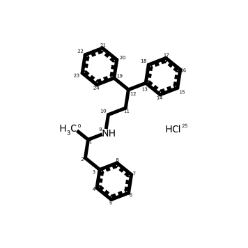 CC(Cc1ccccc1)NCCC(c1ccccc1)c1ccccc1.Cl